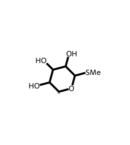 CSC1O[C]C(O)C(O)C1O